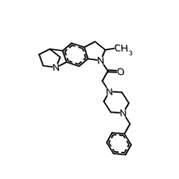 CC1Cc2cc3c(cc2N1C(=O)CN1CCN(Cc2ccccc2)CC1)N1CCC3C1